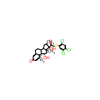 C[C@@H]1CC2C3CCC4=CC(=O)C=CC4(C)C3[C@@H](O)CC2(C)[C@@]1(O)C(=O)CSc1cc(Cl)c(Cl)cc1Cl